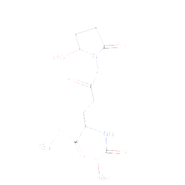 CC(C)(C)OC(=O)NC(CCC(=O)ON1C(=O)CCC1O)C(=O)OC(C)(C)C